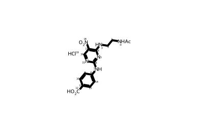 CC(=O)NCCNc1nc(Nc2ccc(C(=O)O)cc2)ncc1[N+](=O)[O-].Cl